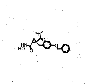 CN(C)C(=O)[C@@]1(Cc2ccc(OCc3ccccc3)cc2)C[C@@H]1C(=O)NO